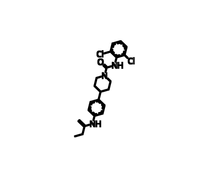 C=C(CC)Nc1ccc(C2CCN(C(=O)Nc3c(Cl)cccc3Cl)CC2)cc1